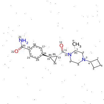 C[C@@H]1CN(C2CCC2)CCN1C(=O)[C@@H]1C[C@H]1c1ccc(C(N)=O)cc1